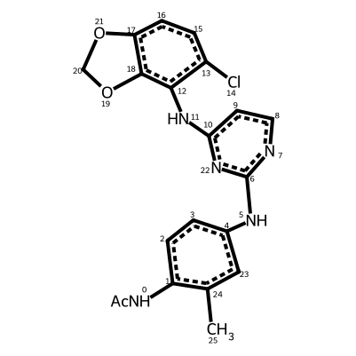 CC(=O)Nc1ccc(Nc2nccc(Nc3c(Cl)ccc4c3OCO4)n2)cc1C